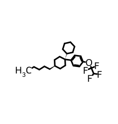 CCCCC[C@H]1CC[C@](c2ccc(OC(F)(F)C(F)F)cc2)(C2CCCCC2)CC1